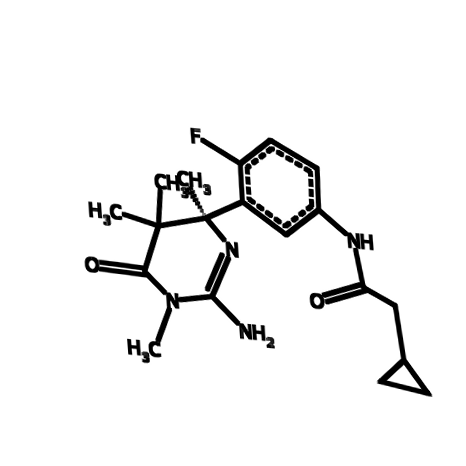 CN1C(=O)C(C)(C)[C@@](C)(c2cc(NC(=O)CC3CC3)ccc2F)N=C1N